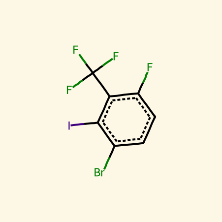 Fc1ccc(Br)c(I)c1C(F)(F)F